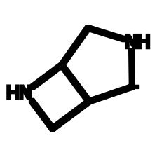 [CH]1NCC2NCC12